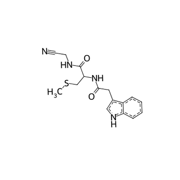 CSCC(NC(=O)Cc1c[nH]c2ccccc12)C(=O)NCC#N